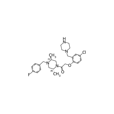 C[C@@H]1CN(Cc2ccc(F)cc2)[C@@H](C)CN1C(=O)COc1ccc(Cl)cc1CN1CCNCC1